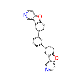 c1cc(-c2ccc3oc4ccncc4c3c2)cc(-c2ccc3oc4ccncc4c3c2)c1